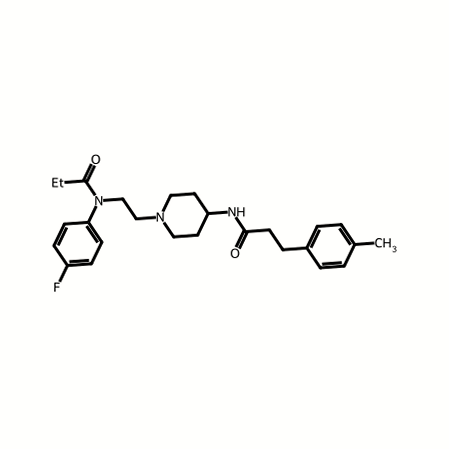 CCC(=O)N(CCN1CCC(NC(=O)CCc2ccc(C)cc2)CC1)c1ccc(F)cc1